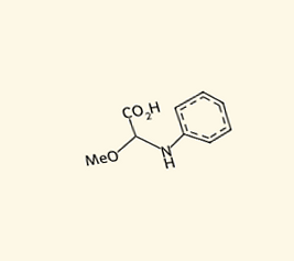 COC(Nc1ccccc1)C(=O)O